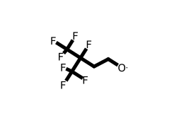 [O]CCC(F)(C(F)(F)F)C(F)(F)F